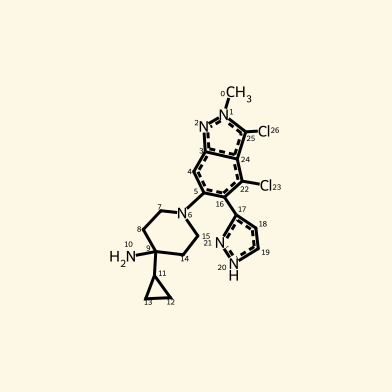 Cn1nc2cc(N3CCC(N)(C4CC4)CC3)c(-c3cc[nH]n3)c(Cl)c2c1Cl